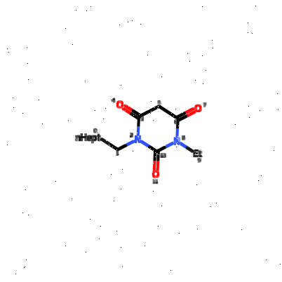 CCCCCCCCN1C(=O)CC(=O)N(CC)C1=O